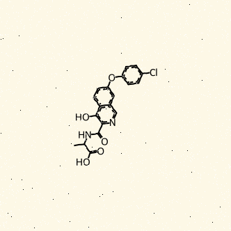 CC(NC(=O)c1ncc2cc(Oc3ccc(Cl)cc3)ccc2c1O)C(=O)O